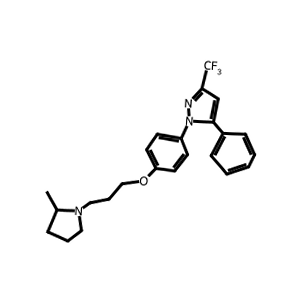 CC1CCCN1CCCOc1ccc(-n2nc(C(F)(F)F)cc2-c2ccccc2)cc1